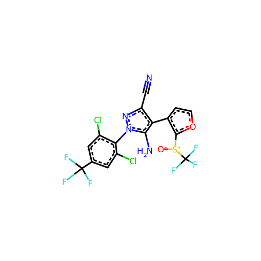 N#Cc1nn(-c2c(Cl)cc(C(F)(F)F)cc2Cl)c(N)c1-c1ccoc1[S+]([O-])C(F)(F)F